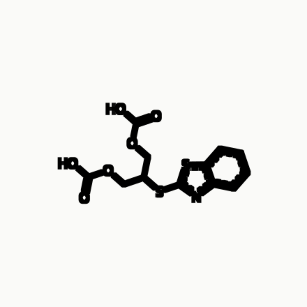 O=C(O)OCC(COC(=O)O)Sc1nc2ccccc2s1